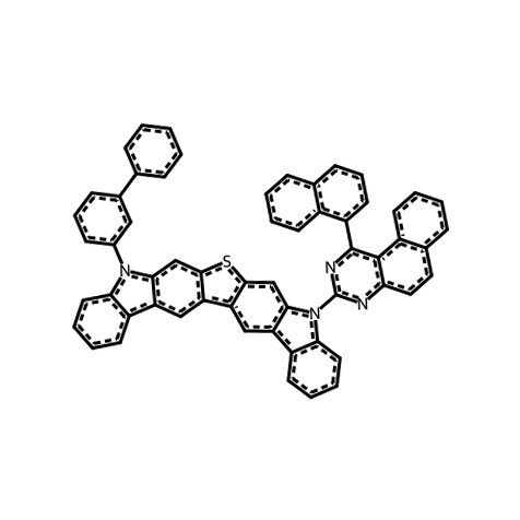 c1ccc(-c2cccc(-n3c4ccccc4c4cc5c(cc43)sc3cc4c(cc35)c3ccccc3n4-c3nc(-c4cccc5ccccc45)c4c(ccc5ccccc54)n3)c2)cc1